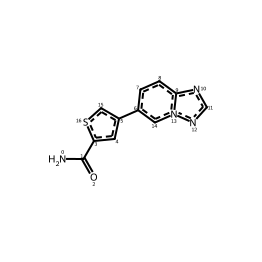 NC(=O)c1cc(-c2ccc3ncnn3c2)cs1